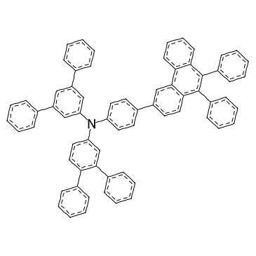 c1ccc(-c2cc(-c3ccccc3)cc(N(c3ccc(-c4ccc5c(-c6ccccc6)c(-c6ccccc6)c6ccccc6c5c4)cc3)c3ccc(-c4ccccc4)c(-c4ccccc4)c3)c2)cc1